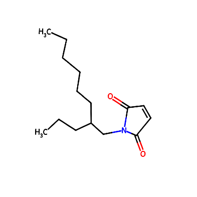 CCCCCCC(CCC)CN1C(=O)C=CC1=O